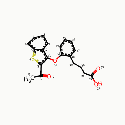 CC(=O)c1sc2ccccc2c1Oc1ccccc1CCCC(=O)O